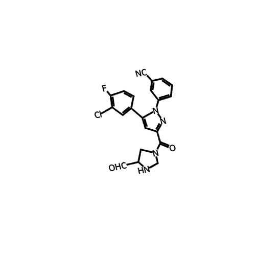 N#Cc1cccc(-n2nc(C(=O)N3CNC(C=O)C3)cc2-c2ccc(F)c(Cl)c2)c1